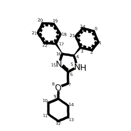 c1ccc([C@H]2NC(COC3CCCCC3)=N[C@H]2c2ccccc2)cc1